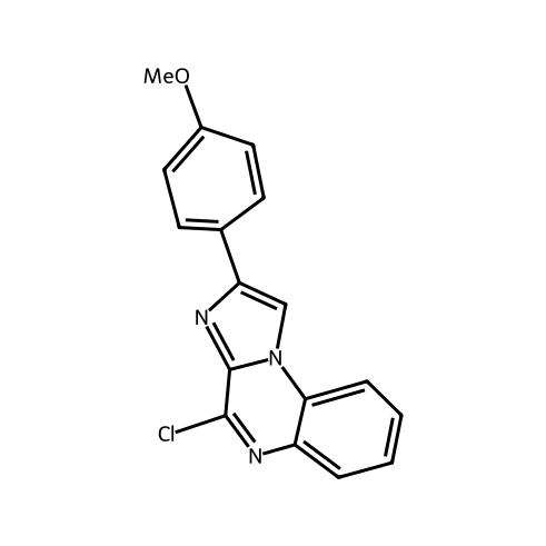 COc1ccc(-c2cn3c(n2)c(Cl)nc2ccccc23)cc1